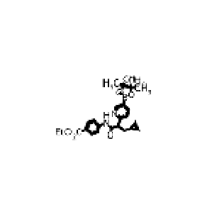 CCOC(=O)c1ccc(NC(=O)C(CC2CC2)c2ccc(B3OC(C)(C)C(C)(C)O3)cn2)cc1